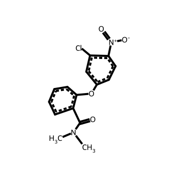 CN(C)C(=O)c1ccccc1Oc1ccc([N+](=O)[O-])c(Cl)c1